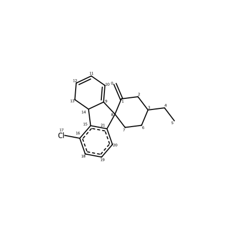 C=C1CC(CC)CCC12C1=CC=CCC1c1c(Cl)cccc12